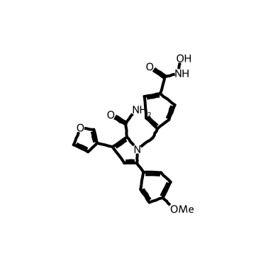 COc1ccc(-c2cc(-c3ccoc3)c(C(N)=O)n2Cc2ccc(C(=O)NO)cc2)cc1